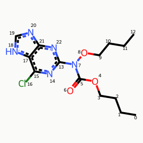 CCCCOC(=O)N(OCCCC)c1nc(Cl)c2[nH]cnc2n1